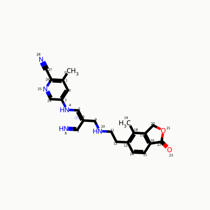 Cc1cc(N/C=C(\C=N)CNCCc2ccc3c(c2C)COC3=O)cnc1C#N